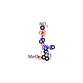 CCc1c(F)ccc2cc(OCOC)cc(-c3ncc4c(N5CC6CCC(C6)C5)nc(OCC56CCCN5[C@@H](COC(=O)Oc5ccc([N+](=O)[O-])cc5)CC6)nc4c3F)c12